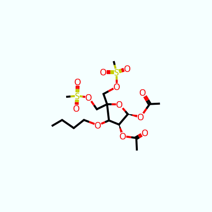 CCCCOC1[C@H](OC(C)=O)[C@H](OC(C)=O)OC1(COS(C)(=O)=O)COS(C)(=O)=O